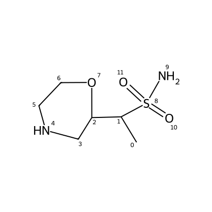 CC(C1CNCCO1)S(N)(=O)=O